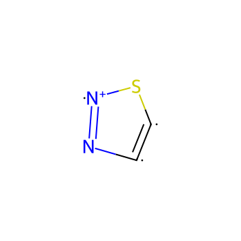 [C]1=[C]S[N+]=N1